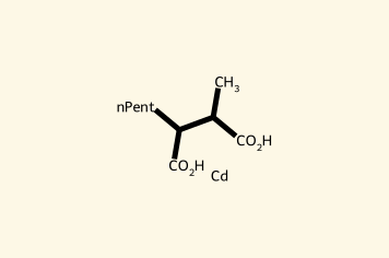 CCCCCC(C(=O)O)C(C)C(=O)O.[Cd]